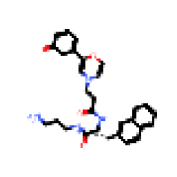 NCCCNC(=O)[C@@H](Cc1ccc2ccccc2c1)NC(=O)CCN1C=COC(C2=CC=CC(=O)C2)=C1